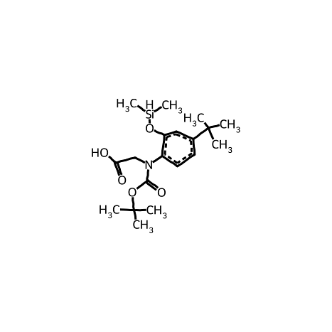 C[SiH](C)Oc1cc(C(C)(C)C)ccc1N(CC(=O)O)C(=O)OC(C)(C)C